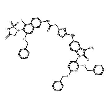 Cn1c(=O)n(-c2ccc(OCc3ccccc3)nc2OCc2ccccc2)c2ccc(Nc3ccn(CC(=O)Nc4ccc5c(F)c(N6CC(=O)NS6(=O)=O)c(OCc6ccccc6)cc5c4)n3)cc21